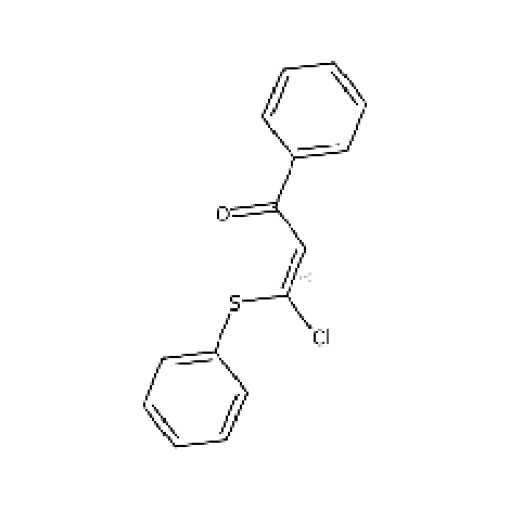 O=C(/C=C(/Cl)Sc1ccccc1)c1ccccc1